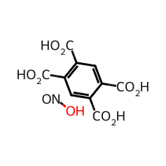 O=C(O)c1cc(C(=O)O)c(C(=O)O)cc1C(=O)O.O=NO